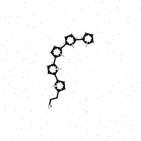 N#CCCc1ccc(-c2ccc(-c3ccc(-c4ccc(-c5cccs5)s4)s3)s2)s1